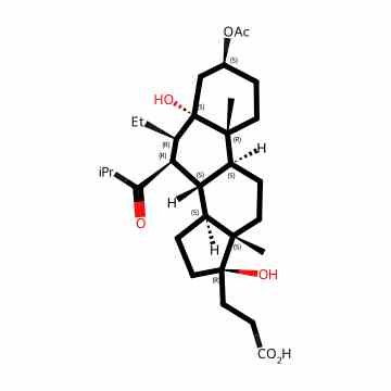 CC[C@@H]1[C@H](C(=O)C(C)C)[C@H]2[C@@H]3CC[C@@](O)(CCC(=O)O)[C@@]3(C)CC[C@@H]2[C@@]2(C)CC[C@H](OC(C)=O)C[C@]12O